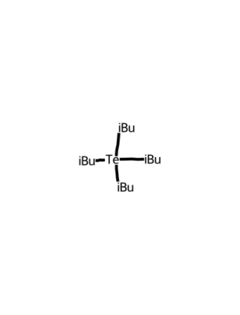 CCC(C)[Te](C(C)CC)(C(C)CC)C(C)CC